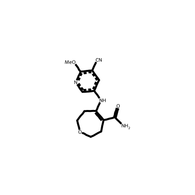 COc1ncc(NC2=C(C(N)=O)CCOCC2)cc1C#N